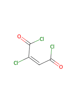 O=C(Cl)/C=C(/Cl)C(=O)Cl